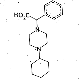 O=C(O)C(c1ccccc1)N1CCN(C2CCCCC2)CC1